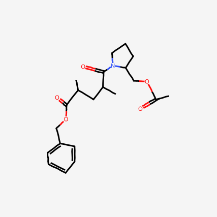 CC(=O)OCC1CCCN1C(=O)C(C)CC(C)C(=O)OCc1ccccc1